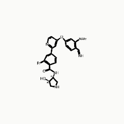 CCc1cc(-c2cc(Oc3ccc(C=N)c(NC)c3)ccn2)ccc1C(=O)N[C@H]1CNC[C@H]1O